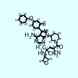 CC(C)(C=C(C#N)C(=O)N1CCCC(n2nc(-c3ccc(Oc4ccccc4)cc3F)c3c(N)ncnc32)C1)NC1COC1